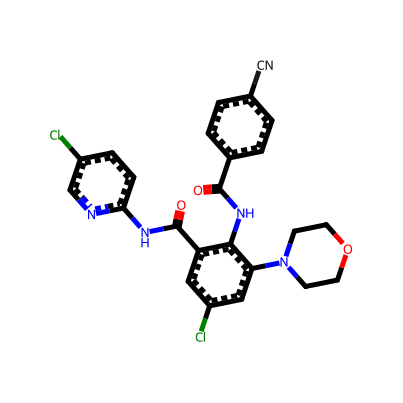 N#Cc1ccc(C(=O)Nc2c(C(=O)Nc3ccc(Cl)cn3)cc(Cl)cc2N2CCOCC2)cc1